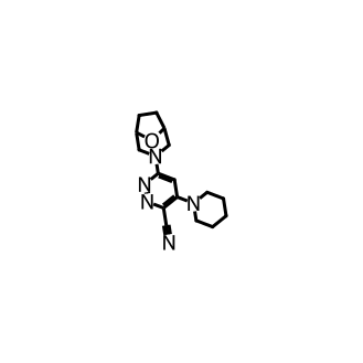 N#Cc1nnc(N2CC3CCC(C2)O3)cc1N1CCCCC1